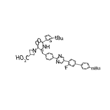 CCCCc1ccc(-c2ccc(-c3cnc(-c4ccc(C[C@H](NC(=O)c5ccc(C(C)(C)C)s5)C(=O)N5CC(C(=O)O)C5)cc4)nc3)c(F)c2)cc1